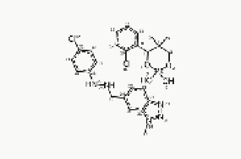 CC1(C)CO[P](O)(O)OC1c1ccccc1Cl.Cn1nnc2ccc(CNNc3ccc(Cl)cc3)cc21